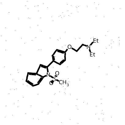 CCN(CC)CCOc1ccc(-c2cc3ccccc3n2S(C)(=O)=O)cc1